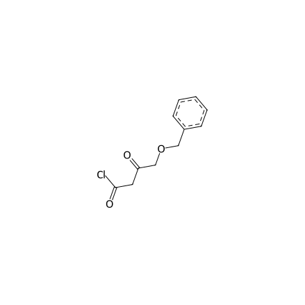 O=C(Cl)CC(=O)COCc1ccccc1